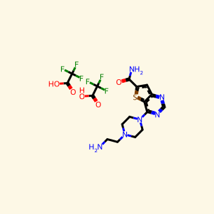 NCCN1CCN(c2ncnc3cc(C(N)=O)sc23)CC1.O=C(O)C(F)(F)F.O=C(O)C(F)(F)F